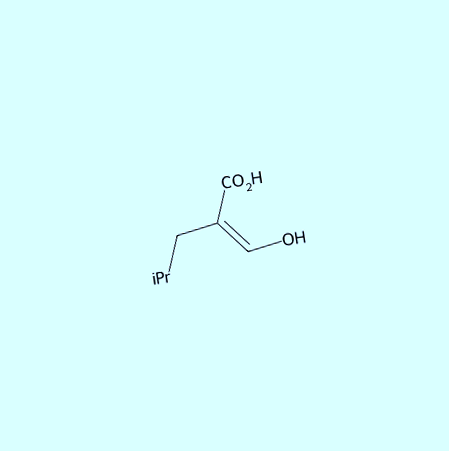 CC(C)CC(=CO)C(=O)O